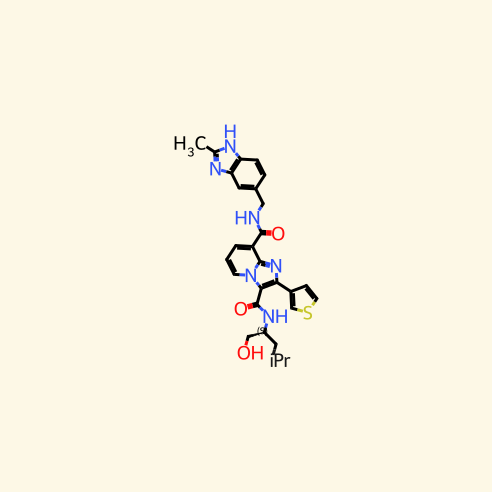 Cc1nc2cc(CNC(=O)c3cccn4c(C(=O)N[C@H](CO)CC(C)C)c(-c5ccsc5)nc34)ccc2[nH]1